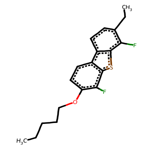 CCCCCOc1ccc2c(sc3c(F)c(CC)ccc32)c1F